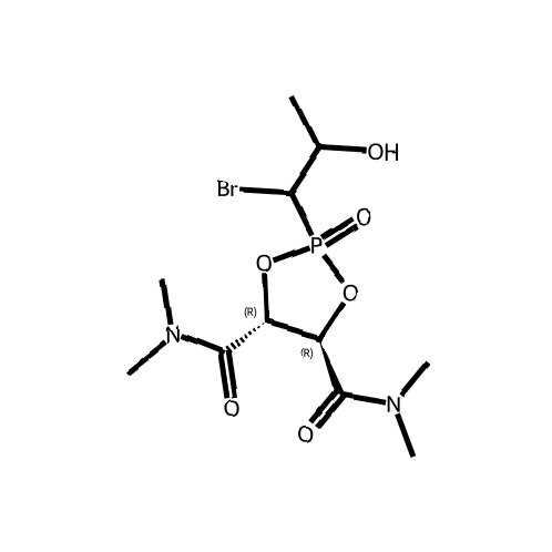 CC(O)C(Br)P1(=O)O[C@@H](C(=O)N(C)C)[C@H](C(=O)N(C)C)O1